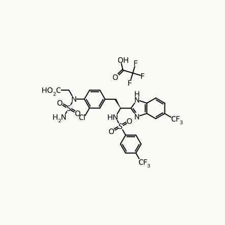 NS(=O)(=O)N(CC(=O)O)c1ccc(C[C@H](NS(=O)(=O)c2ccc(C(F)(F)F)cc2)c2nc3cc(C(F)(F)F)ccc3[nH]2)cc1Cl.O=C(O)C(F)(F)F